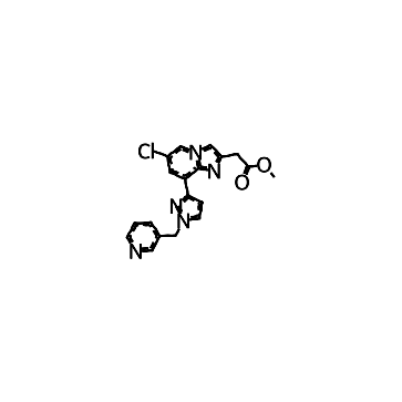 COC(=O)Cc1cn2cc(Cl)cc(-c3ccn(Cc4cccnc4)n3)c2n1